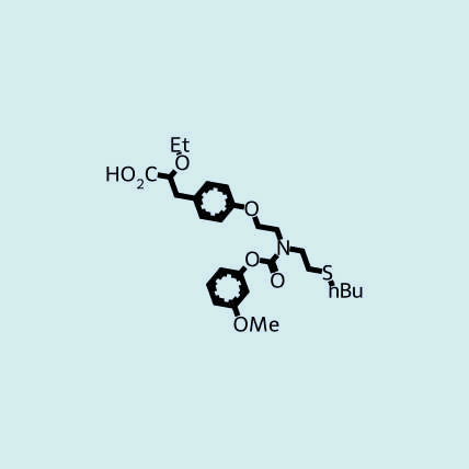 CCCCSCCN(CCOc1ccc(CC(OCC)C(=O)O)cc1)C(=O)Oc1cccc(OC)c1